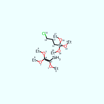 CCOC([SiH3])=C(OCC)OCC.CCO[Si](CCCCl)(OCC)OCC